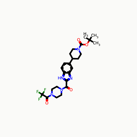 CC(C)(C)OC(=O)N1CCC(c2ccc3[nH]c(C(=O)N4CCN(C(=O)C(F)(F)F)CC4)nc3c2)CC1